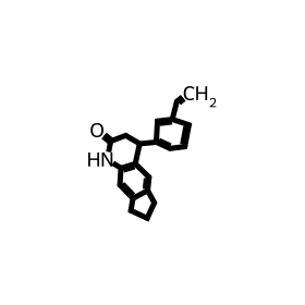 C=Cc1cccc(C2CC(=O)Nc3cc4c(cc32)CCC4)c1